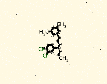 C=CC[C@H](CCCc1cc(C)cc(C)c1)c1ccc(Cl)c(Cl)c1